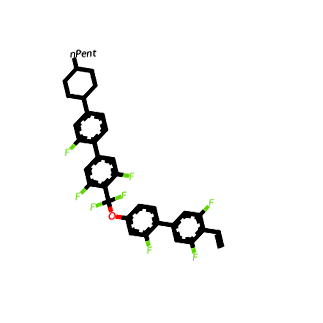 C=Cc1c(F)cc(-c2ccc(OC(F)(F)c3c(F)cc(-c4ccc(C5CCC(CCCCC)CC5)cc4F)cc3F)cc2F)cc1F